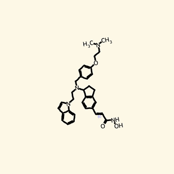 CN(C)CCOc1ccc(CN(CCn2ccc3ccccc32)C2CCc3cc(/C=C/C(=O)NO)ccc32)cc1